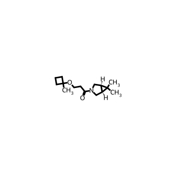 CC1(OCCC(=O)N2C[C@@H]3[C@H](C2)C3(C)C)CCC1